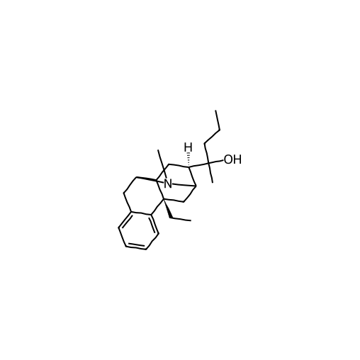 CCCC(C)(O)[C@@H]1CC2C3Cc4ccccc4[C@@]2(CC)CC1N3C